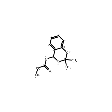 CNC(=O)OC1OC(C)(C)Oc2ccccc21